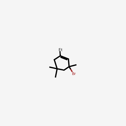 CCC1=CC(C)(Br)CC(C)(C)C1